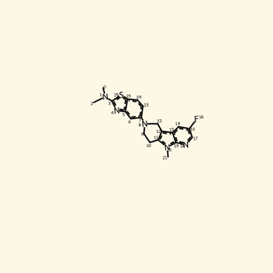 CN(C)c1nc2cc(N3CCc4c(c5cc(F)cnc5n4C)C3)ccc2s1